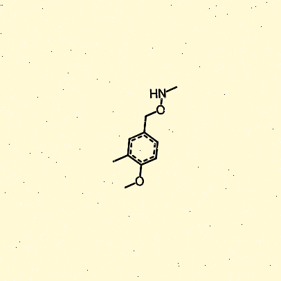 CNOCc1ccc(OC)c(C)c1